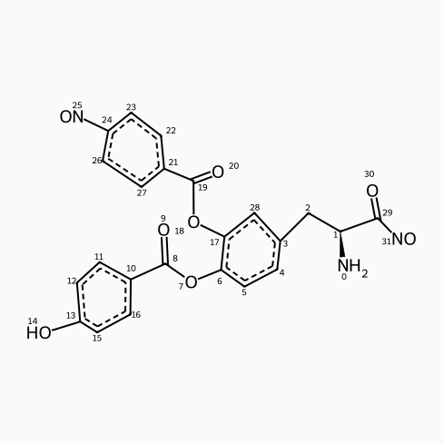 N[C@@H](Cc1ccc(OC(=O)c2ccc(O)cc2)c(OC(=O)c2ccc(N=O)cc2)c1)C(=O)N=O